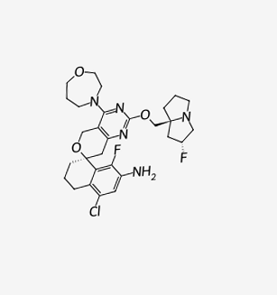 Nc1cc(Cl)c2c(c1F)[C@]1(CCC2)Cc2nc(OC[C@@]34CCCN3C[C@H](F)C4)nc(N3CCCOCC3)c2CO1